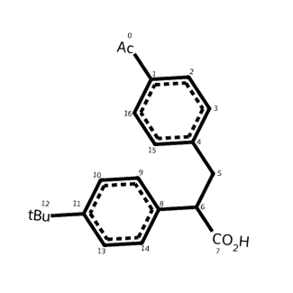 CC(=O)c1ccc(CC(C(=O)O)c2ccc(C(C)(C)C)cc2)cc1